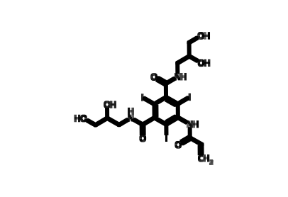 C=CC(=O)Nc1c(I)c(C(=O)NCC(O)CO)c(I)c(C(=O)NCC(O)CO)c1I